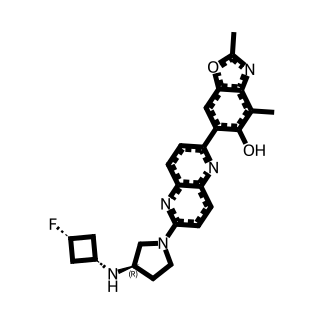 Cc1nc2c(C)c(O)c(-c3ccc4nc(N5CC[C@@H](N[C@H]6C[C@@H](F)C6)C5)ccc4n3)cc2o1